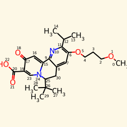 COCCCOc1cc2c(nc1C(C)C)-c1cc(=O)c(C(=O)O)cn1C(C(C)(C)C)C2